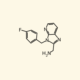 NCc1nc2cccnc2n1Cc1ccc(F)cc1